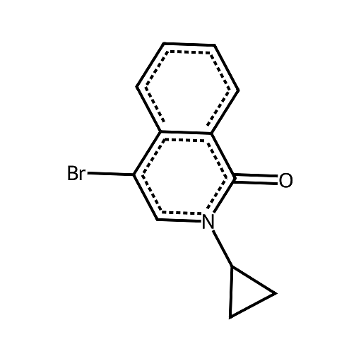 O=c1c2ccccc2c(Br)cn1C1CC1